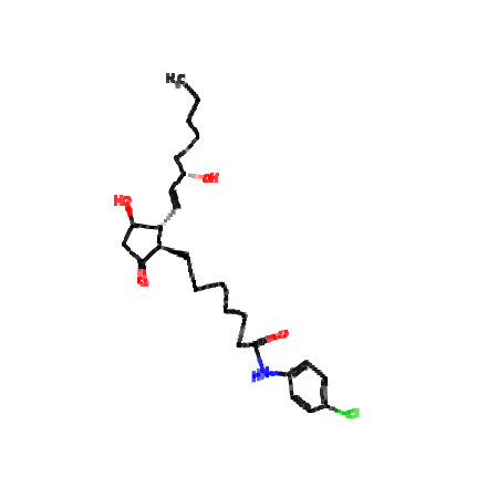 CCCCC[C@H](O)/C=C/[C@H]1[C@H](O)CC(=O)[C@@H]1CCCCCCC(=O)Nc1ccc(Cl)cc1